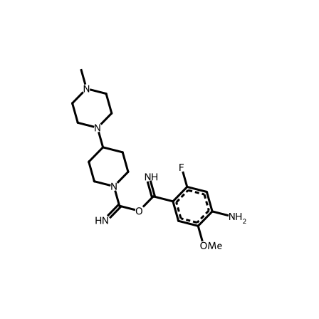 COc1cc(C(=N)OC(=N)N2CCC(N3CCN(C)CC3)CC2)c(F)cc1N